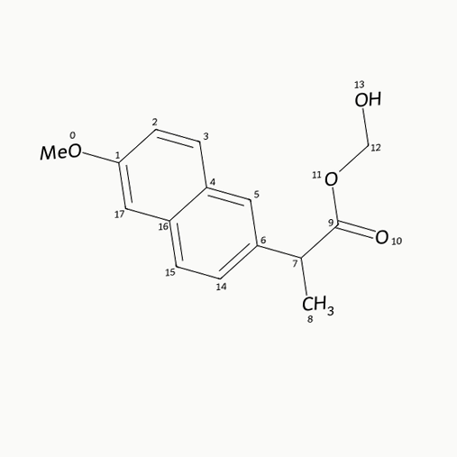 COc1ccc2cc(C(C)C(=O)OCO)ccc2c1